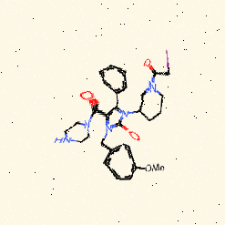 COc1cccc(Cn2c(C(=O)N3CCNCC3)c(-c3ccccc3)n(C3CCCN(C(=O)CI)C3)c2=O)c1